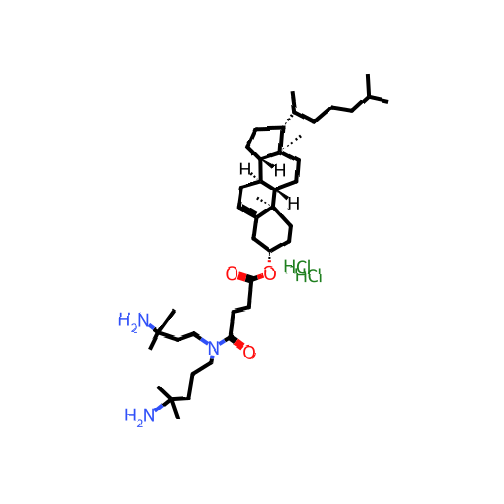 CC(C)CCCC(C)[C@H]1CC[C@H]2[C@@H]3CC=C4C[C@@H](OC(=O)CCC(=O)N(CCCC(C)(C)N)CCC(C)(C)N)CC[C@]4(C)[C@H]3CC[C@]12C.Cl.Cl